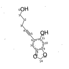 OCCCC#Cc1cc2c(cc1O)OCO2